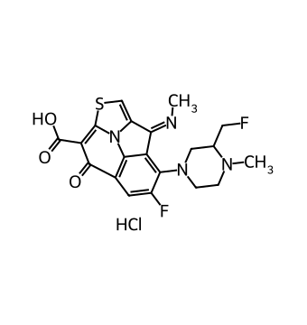 CN=c1c2c(N3CCN(C)C(CF)C3)c(F)cc3c(=O)c(C(=O)O)c4scc1n4c32.Cl